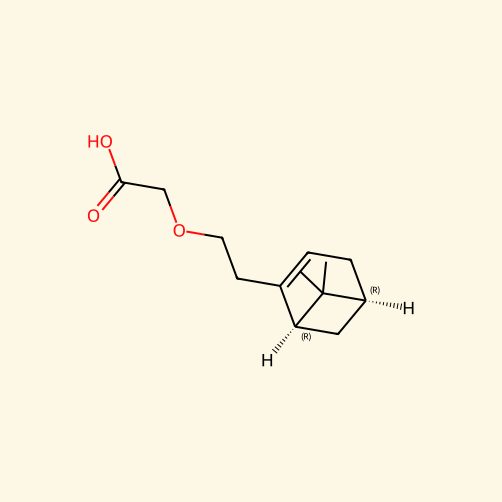 CC1(C)[C@H]2CC=C(CCOCC(=O)O)[C@@H]1C2